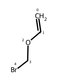 C=[C]OCBr